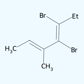 CC=C(C)/C(Br)=C(\Br)CC